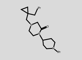 CC(C)CC1(CN2CCN(C3CCN(C(C)C)CC3)C(=O)C2)CC1